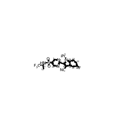 CC(C)n1c(-c2ncc(S(=O)(=O)N[C@@H](C)C(F)(F)F)cn2)c(C#N)c2cc(F)ccc21